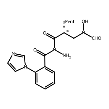 CCCCC[C@H](CN(O)C=O)C(=O)N(N)C(=O)c1ccccc1-n1ccnc1